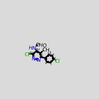 Cc1c(-c2ccc(Cl)cc2)nnc(Cl)c1NC=O